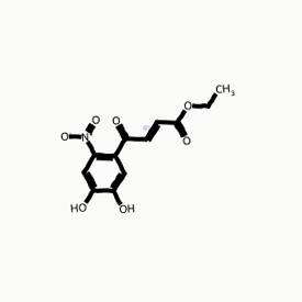 CCOC(=O)/C=C/C(=O)c1cc(O)c(O)cc1[N+](=O)[O-]